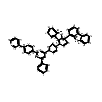 c1ccc(-c2cc(-c3ccc(-c4ccc(-c5cccc6c5oc5ccccc56)c5oc6ccccc6c45)cc3)nc(-c3ccc(-c4cccnc4)cc3)n2)cc1